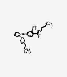 CCCC/C(F)=C(\F)c1ccc(C#Cc2ccccc2C2CCC(CCC)CC2)cc1F